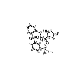 O=C(NCc1ccccc1S(=O)(=O)c1cccc(C(F)(F)F)c1)[C@@H]1C[C@@H](F)CN1